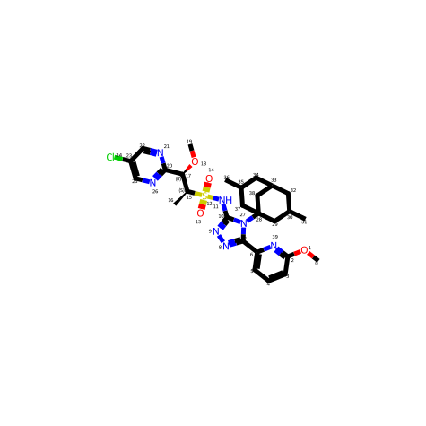 COc1cccc(-c2nnc(NS(=O)(=O)[C@@H](C)[C@H](OC)c3ncc(Cl)cn3)n2C23CC(C)CC(CC(C)C2)C3)n1